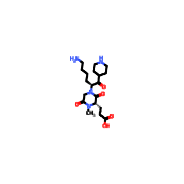 CN1C(=O)CN([C@@H](CCCCN)C(=O)C2CCNCC2)C(=O)[C@@H]1CCC(=O)O